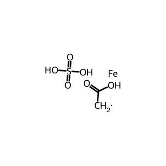 O=S(=O)(O)O.[CH2]C(=O)O.[Fe]